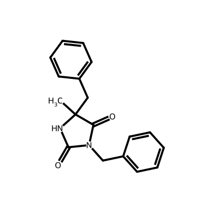 CC1(Cc2ccccc2)NC(=O)N(Cc2ccccc2)C1=O